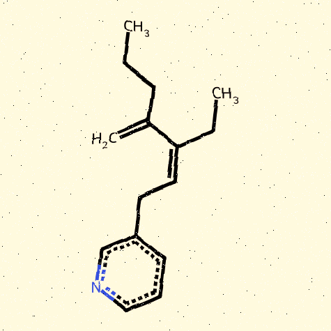 C=C(CCC)/C(=C\Cc1cccnc1)CC